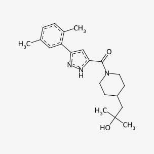 Cc1ccc(C)c(-c2cc(C(=O)N3CCC(CC(C)(C)O)CC3)[nH]n2)c1